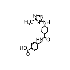 Cc1ncnc(NC2CCC(C(=O)NCc3ccc(C(=O)O)cc3)CC2)n1